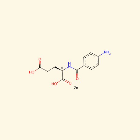 Nc1ccc(C(=O)N[C@H](CCC(=O)O)C(=O)O)cc1.[Zn]